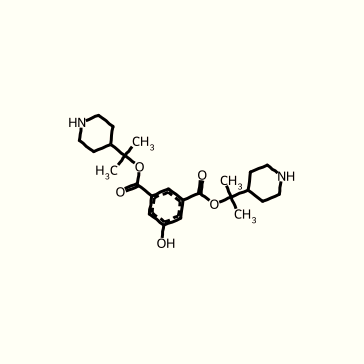 CC(C)(OC(=O)c1cc(O)cc(C(=O)OC(C)(C)C2CCNCC2)c1)C1CCNCC1